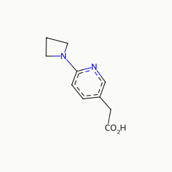 O=C(O)Cc1ccc(N2CCC2)nc1